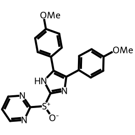 COc1ccc(-c2nc([S+]([O-])c3ncccn3)[nH]c2-c2ccc(OC)cc2)cc1